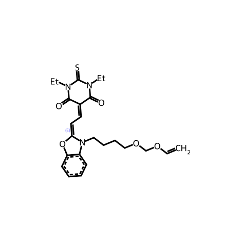 C=COCOCCCCN1/C(=C\C=C2C(=O)N(CC)C(=S)N(CC)C2=O)Oc2ccccc21